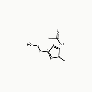 CC(=O)O.Cn1cc[n+](CCO)c1